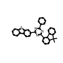 CC1(C)c2ccccc2-c2c(-c3nc(-c4ccccc4)nc(-c4ccc5c(c4)sc4ccccc45)n3)cccc21